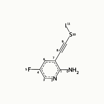 Nc1ncc(F)cc1C#CSI